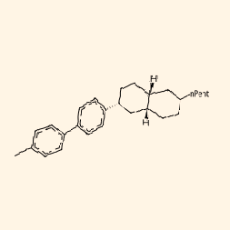 CCCCCC1CC[C@@H]2C[C@H](c3ccc(-c4ccc(C)cc4)cc3)CC[C@@H]2C1